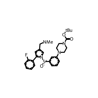 CNCc1cc(-c2ccccc2F)n([S+]([O-])c2cccc(N3CCN(C(=O)OC(C)(C)C)CC3)c2)c1